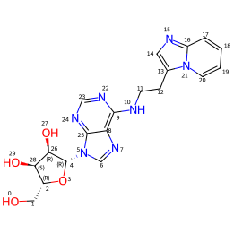 OC[C@H]1O[C@@H](n2cnc3c(NCCc4cnc5ccccn45)ncnc32)[C@H](O)[C@@H]1O